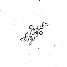 CN(CC1=C(C(=O)O)N2C(=O)[C@@H](NC(=O)Cc3cccs3)C2SC1)S(=O)(=O)c1ccccc1-c1c2ccc(N3CCc4ccccc43)cc2[o+]c2cc(N3CCc4ccccc43)ccc12